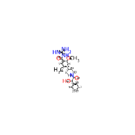 COc1cc(C2CCN(C(=O)[C@@H](O)c3ccccc3)CC2)c(C)cc1C(=O)NC(=N)N